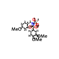 COc1ccc(CN(S(C)(=O)=O)S(=O)(=O)c2ccc(OC)c(OC)c2)cc1